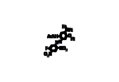 CCOc1cc(/N=N/c2cc(F)c([N+](=O)[O-])cc2[N+](=O)[O-])c(NC(C)=O)cc1N(CC)CC